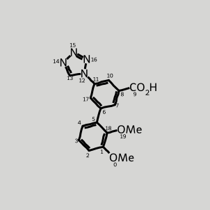 COc1cccc(-c2cc(C(=O)O)cc(-n3cnnn3)c2)c1OC